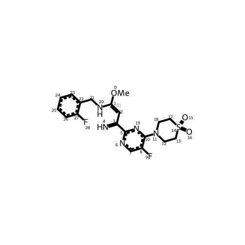 CO/C(=C/C(=N)c1ncc(F)c(N2CCS(=O)(=O)CC2)n1)NCc1ccccc1F